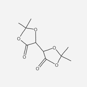 CC1(C)OC(=O)C(C2OC(C)(C)OC2=O)O1